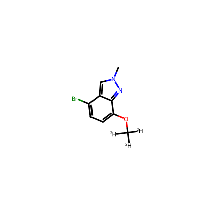 [2H]C([2H])([2H])Oc1ccc(Br)c2cn(C)nc12